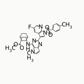 COC(=O)C1C2CCC(CC2)C1Nc1nc(-c2cn(S(=O)(=O)c3ccc(C)cc3)c3ncc(F)cc23)nc2ccn(C)c12